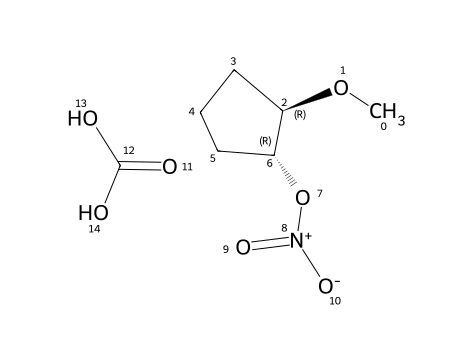 CO[C@@H]1CCC[C@H]1O[N+](=O)[O-].O=C(O)O